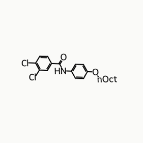 CCCCCCCCOc1ccc(NC(=O)c2ccc(Cl)c(Cl)c2)cc1